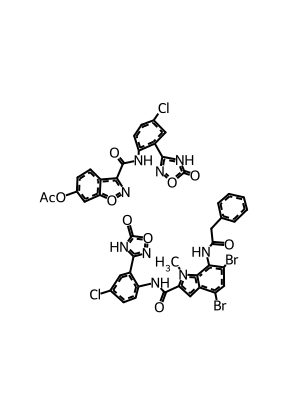 CC(=O)Oc1ccc2c(C(=O)Nc3ccc(Cl)cc3-c3noc(=O)[nH]3)noc2c1.Cn1c(C(=O)Nc2ccc(Cl)cc2-c2noc(=O)[nH]2)cc2c(Br)cc(Br)c(NC(=O)Cc3ccccc3)c21